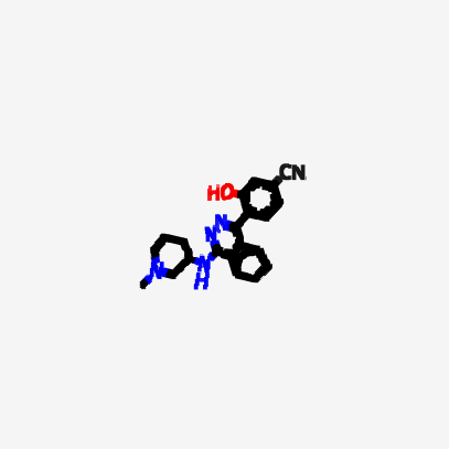 CN1CCC[C@@H](Nc2nnc(-c3ccc(C#N)cc3O)c3c2C2CCC3CC2)C1